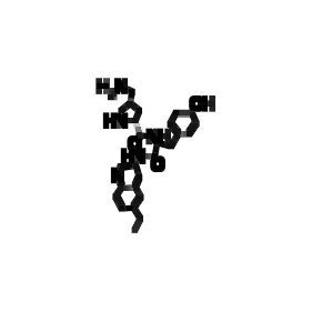 CCc1ccc2ncc(NC(=O)C(Cc3ccc(O)cc3)NC(=O)[C@H]3C[C@H](CN)CN3)cc2c1